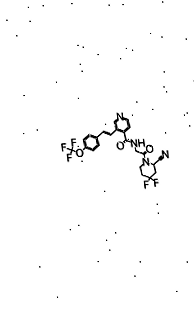 N#CC1CC(F)(F)CCN1C(=O)CNC(=O)c1ccncc1C=Cc1ccc(OC(F)(F)F)cc1